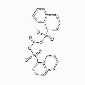 O=S(OS(=O)(=O)c1cccc2ccccc12)OS(=O)(=O)c1cccc2ccccc12